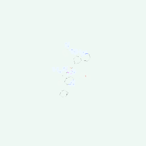 C[C@]1(C(N)=O)COc2c1cc(C(O)(CNC(=O)c1cc(NC(=O)N3CCC3)c3ncccc3c1)C(F)(F)F)nc2-c1ccc(F)cc1